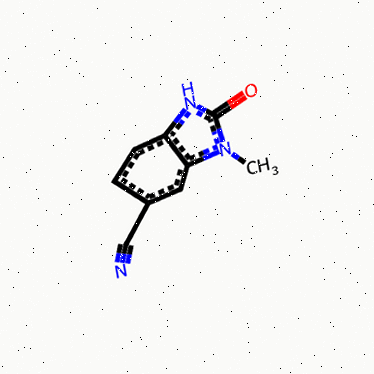 Cn1c(=O)[nH]c2ccc(C#N)cc21